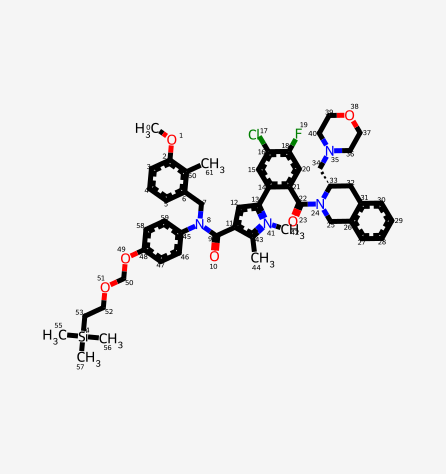 COc1cccc(CN(C(=O)c2cc(-c3cc(Cl)c(F)cc3C(=O)N3Cc4ccccc4C[C@H]3CN3CCOCC3)n(C)c2C)c2ccc(OCOCC[Si](C)(C)C)cc2)c1C